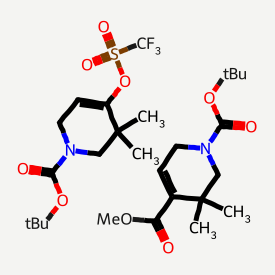 CC(C)(C)OC(=O)N1CC=C(OS(=O)(=O)C(F)(F)F)C(C)(C)C1.COC(=O)C1=CCN(C(=O)OC(C)(C)C)CC1(C)C